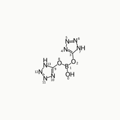 OB(Oc1nnn[nH]1)Oc1nnn[nH]1